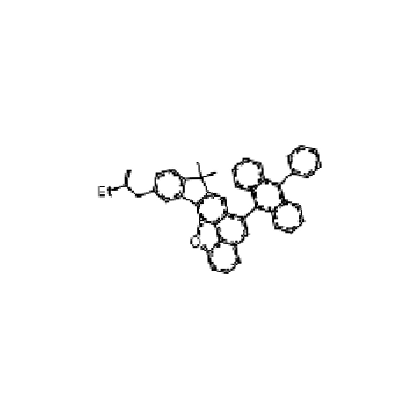 C=C(CC)Cc1ccc2c(c1)-c1c(cc3c(-c4c5ccccc5c(-c5ccccc5)c5ccccc45)cc4cccc5oc1c3c45)C2(C)C